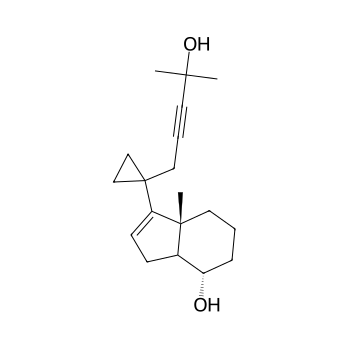 CC(C)(O)C#CCC1(C2=CCC3[C@@H](O)CCC[C@@]23C)CC1